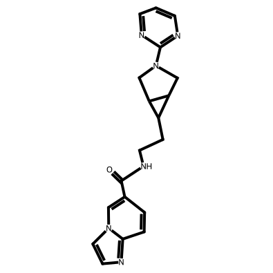 O=C(NCCC1C2CN(c3ncccn3)CC12)c1ccc2nccn2c1